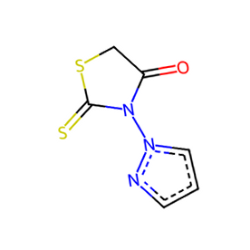 O=C1CSC(=S)N1n1cccn1